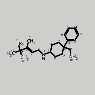 C/C(=C\CNC1CCC(CN)(c2ccccc2)CC1)C(C)(C)C(C)(C)C